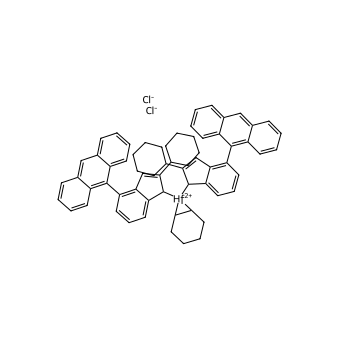 C1=C(C2CCCCC2)[CH]([Hf+2]2([CH]3C(C4CCCCC4)=Cc4c(-c5c6ccccc6cc6ccccc56)cccc43)[CH]3CCCC[CH]32)c2cccc(-c3c4ccccc4cc4ccccc34)c21.[Cl-].[Cl-]